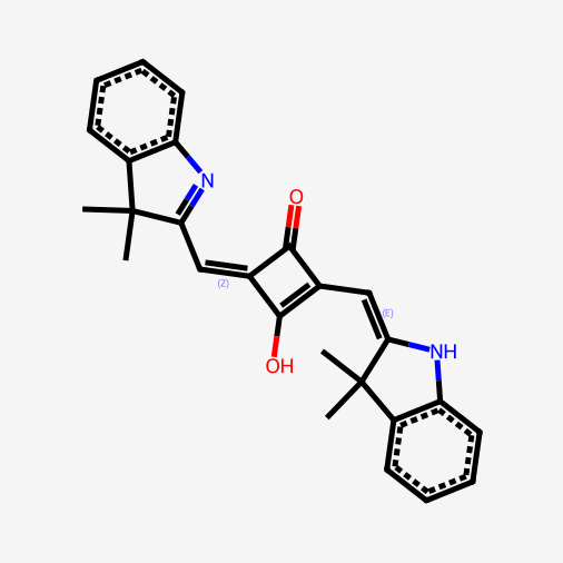 CC1(C)C(/C=C2\C(=O)C(/C=C3/Nc4ccccc4C3(C)C)=C2O)=Nc2ccccc21